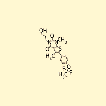 Cc1c(-c2ccc(OC(C)(F)F)cc2)sc2c1c(=O)n(CCCO)c(=O)n2C